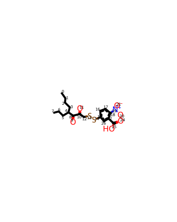 CCCCC(CCC)C(=O)C(=O)CSSc1ccc([N+](=O)[O-])c(C(=O)O)c1